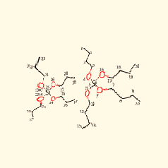 CCCCO[Si](OCCCC)(OCCCC)OCCCC.CCCO[Si](OCCC)(OCCC)OCCC